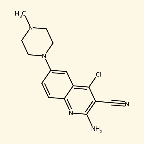 CN1CCN(c2ccc3nc(N)c(C#N)c(Cl)c3c2)CC1